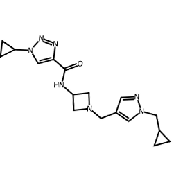 O=C(NC1CN(Cc2cnn(CC3CC3)c2)C1)c1cn(C2CC2)nn1